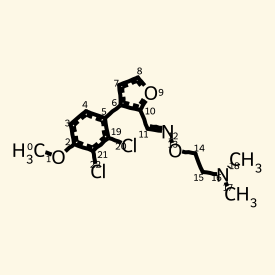 COc1ccc(-c2ccoc2C=NOCCN(C)C)c(Cl)c1Cl